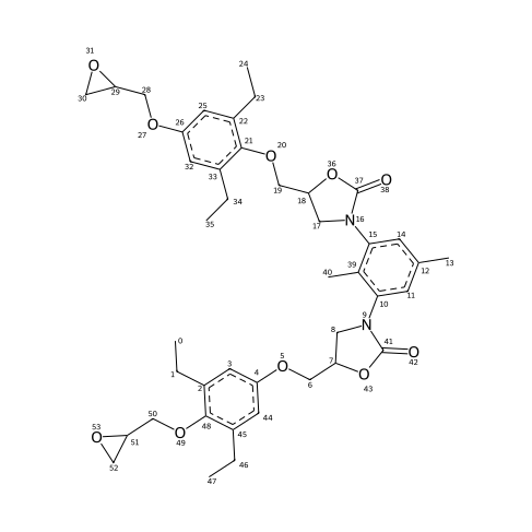 CCc1cc(OCC2CN(c3cc(C)cc(N4CC(COc5c(CC)cc(OCC6CO6)cc5CC)OC4=O)c3C)C(=O)O2)cc(CC)c1OCC1CO1